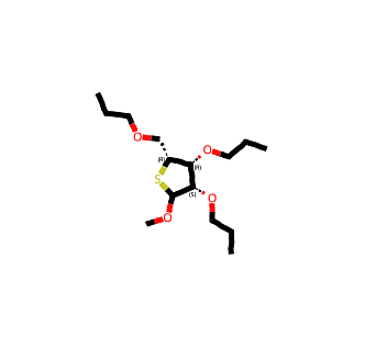 CCCOC[C@H]1SC(OC)[C@@H](OCCC)[C@H]1OCCC